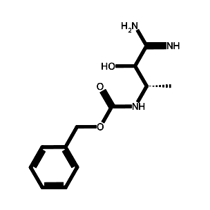 C[C@H](NC(=O)OCc1ccccc1)C(O)C(=N)N